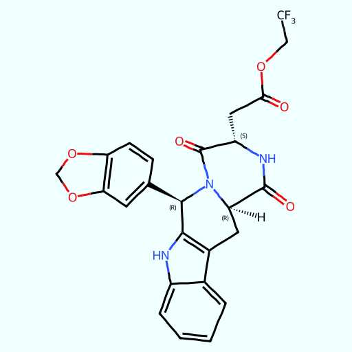 O=C(C[C@@H]1NC(=O)[C@H]2Cc3c([nH]c4ccccc34)[C@@H](c3ccc4c(c3)OCO4)N2C1=O)OCC(F)(F)F